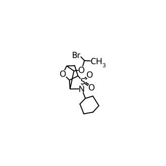 CC(Br)OC1C2CC3C(O2)C1N(C1CCCCC1)S3(=O)=O